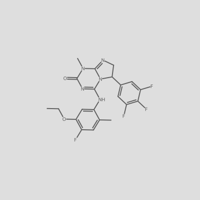 CCOc1cc(NC2=NC(=O)N(C)C3=NCC(c4cc(F)c(F)c(F)c4)N23)c(C)cc1F